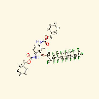 O=C(Nc1ccc(NC(=O)OCc2ccccc2)c(OC(F)=C(F)C(F)(F)C(F)(F)C(F)(F)C(F)(F)C(F)(F)C(F)(F)C(F)(F)F)c1)OCc1ccccc1